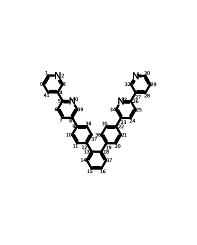 c1cncc(-c2ccc(-c3ccc(-c4ccccc4-c4ccc(-c5ccc(-c6cccnc6)nc5)cc4)cc3)cn2)c1